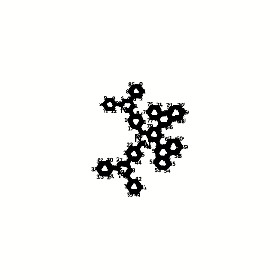 c1ccc(-c2cc(-c3ccccc3)nc(-c3ccc(-c4nc(-c5ccc(-c6cc(-c7ccccc7)nc(-c7ccccc7)c6)cc5)nc5c(-c6cc7ccccc7c7ccccc67)cc(-c6cc7ccccc7c7ccccc67)cc45)cc3)c2)cc1